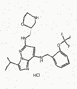 CC(C)c1cnc2c(NCc3ccccc3OC(F)(F)F)cc(NC[C@H]3CNCCO3)nn12.Cl